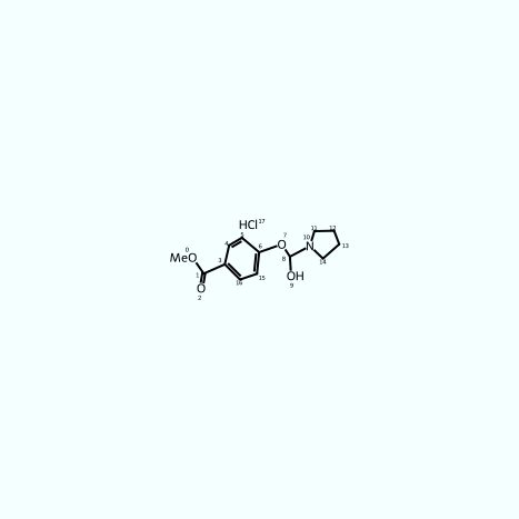 COC(=O)c1ccc(OC(O)N2CCCC2)cc1.Cl